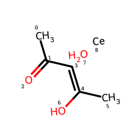 CC(=O)/C=C(/C)O.O.[Ce]